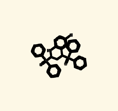 O=P(c1ccccc1)(c1ccccc1)C1CC(P(=O)(c2ccccc2)c2ccccc2)c2cc(Cl)ccc2N1